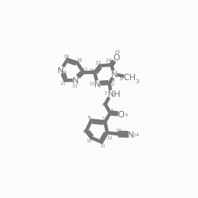 Cn1c(NCC(=O)c2ccccc2C#N)nc(-c2ccncn2)cc1=O